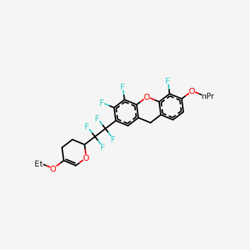 CCCOc1ccc2c(c1F)Oc1c(cc(C(F)(F)C(F)(F)C3CCC(OCC)=CO3)c(F)c1F)C2